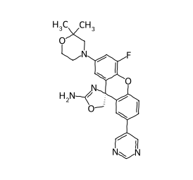 CC1(C)CN(c2cc(F)c3c(c2)[C@@]2(COC(N)=N2)c2cc(-c4cncnc4)ccc2O3)CCO1